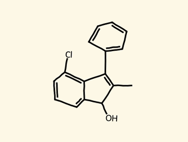 CC1=C(c2ccccc2)c2c(Cl)cccc2C1O